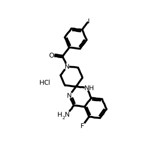 Cl.NC1=NC2(CCN(C(=O)c3ccc(I)cc3)CC2)Nc2cccc(F)c21